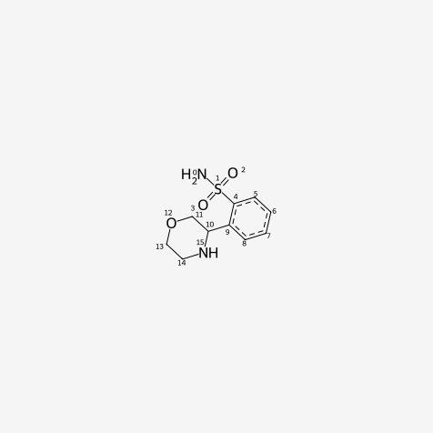 NS(=O)(=O)c1ccccc1C1COCCN1